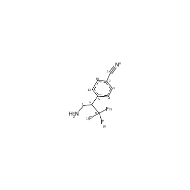 N#Cc1ccc(C(CN)C(F)(F)F)cc1